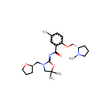 CN1CCC[C@H]1COc1ccc(C(F)(F)F)cc1C(=O)N=C1OC(C)(C)CN1C[C@H]1CCCO1